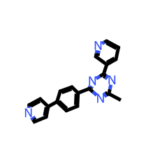 Cc1nc(-c2ccc(-c3ccncc3)cc2)nc(-c2cccnc2)n1